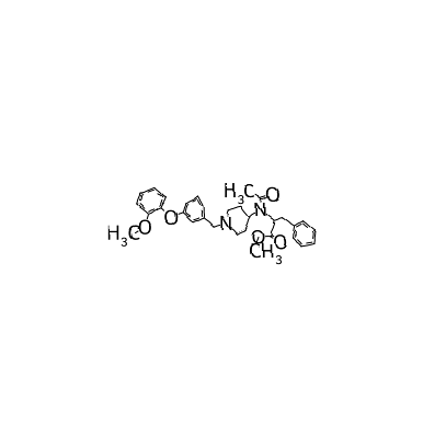 COC(=O)C(Cc1ccccc1)N(C(C)=O)C1CCN(Cc2cccc(Oc3ccccc3OC)c2)CC1